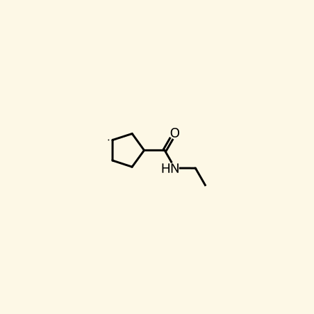 CCNC(=O)C1C[CH]CC1